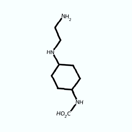 NCCNC1CCC(NC(=O)O)CC1